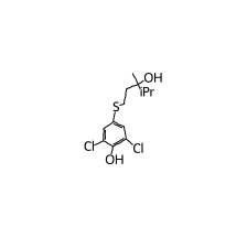 CC(C)C(C)(O)CCSc1cc(Cl)c(O)c(Cl)c1